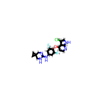 Fc1cc(NC2=NCC3(CC3)CN2)cc(F)c1Oc1ccnc2[nH]cc(Cl)c12